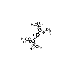 C=C(C)C(=O)Oc1cc(/C=C/c2ccc(-c3cc(OC(=O)C(=C)C)cc(OC(=O)C(=C)C)c3)cc2F)cc(OC(=O)C(=C)C)c1